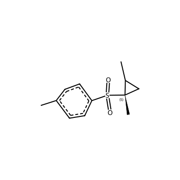 Cc1ccc(S(=O)(=O)[C@@]2(C)CC2C)cc1